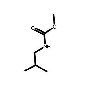 COC(=O)N[CH]C(C)C